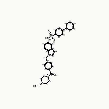 O=C(O)C1CCN(C(=O)c2ccc(Cn3ccc4cc(NS(=O)(=O)c5ccc(-c6ccccc6)cc5)ccc43)cc2)CC1